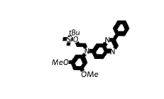 COC1=CC(N(CCO[Si](C)(C)C(C)(C)C)c2ccc3ncc(-c4ccccc4)nc3c2)=CC(OC)C1